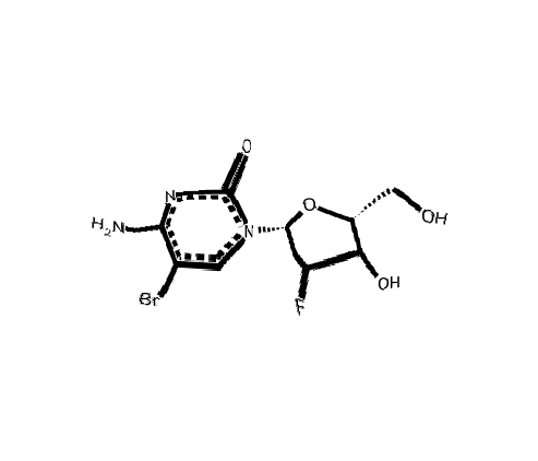 Nc1nc(=O)n([C@@H]2O[C@H](CO)C(O)C2F)cc1Br